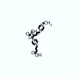 CCN1CCN(CCCC2C(N3CCN(CCCC(=O)O)CC3)OC(=O)N2C)CC1